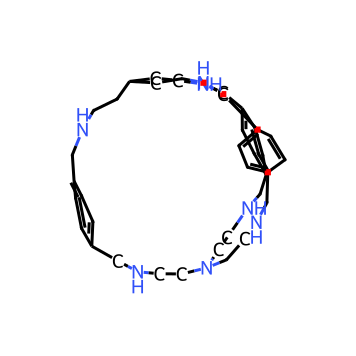 c1cc2ccc1CNCCC1CCNCc3ccc(cc3)CNCCN(CCNC2)CCNCc2ccc(cc2)CNCC1